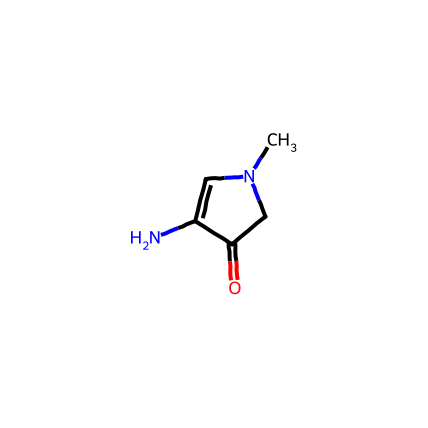 CN1C=C(N)C(=O)C1